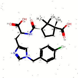 CC1(C)[C@@H](C(=O)N[C@@H](Cc2cn(Cc3ccc(Cl)cc3)cn2)C(=O)O)CC[C@@]1(C)C(=O)O